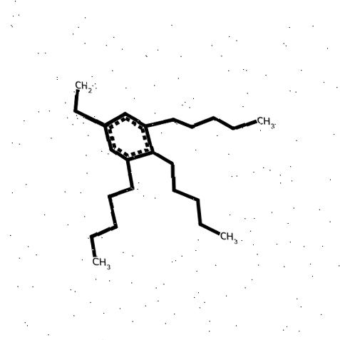 [CH2]Cc1cc(CCCCC)c(CCCCC)c(CCCCC)c1